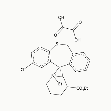 CCOC(=O)C1CCC[N+]2(CC)C1[C@]21c2ccccc2CSc2ccc(Cl)cc21.O=C(O)C(=O)O